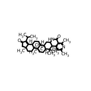 Cc1cc2c(c(C)n1)C(=O)NC1C[C@]3(C)[C@H]4CC[C@@H]5C6=C(C(C)C)C(=O)C[C@]6(C)CC[C@@]5(C)[C@]4(C)CC[C@H]3C(C)(C)[C@]21O